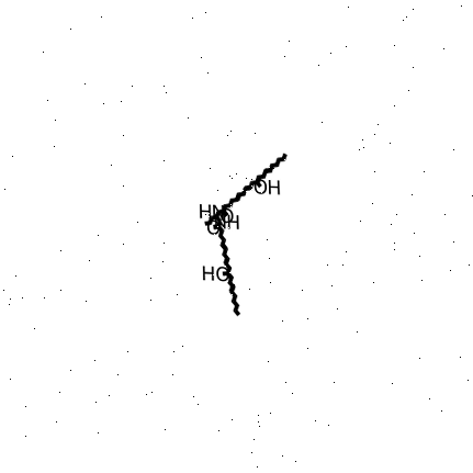 CCCCCC=CCC=C(O)CC=CCC=CCCCC(=O)NC(CCC)NC(=O)CCCC=CCC=CCC(O)=CCC=CCCCCC